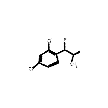 CC(N)C(F)c1ccc(Cl)cc1Cl